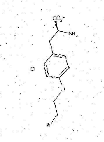 CC(C)CCOc1ccc(C[C@H](N)C(=O)O)cc1.Cl